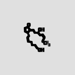 O=C1C=C[C@H](C/C=C\CCCCO)/C1=C\C[C@@H](O)C/C=C\CC(F)(F)F